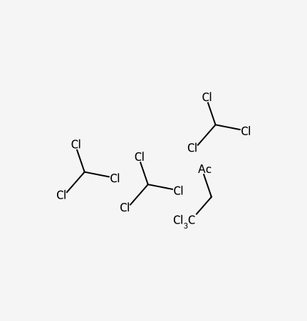 CC(=O)CC(Cl)(Cl)Cl.ClC(Cl)Cl.ClC(Cl)Cl.ClC(Cl)Cl